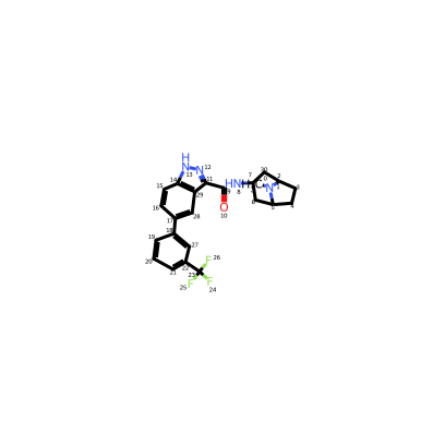 CN1C2CCC1CC(NC(=O)c1n[nH]c3ccc(-c4cccc(C(F)(F)F)c4)cc13)C2